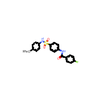 COc1ccc(NS(=O)(=O)c2ccc(NC(=O)c3ccc(F)cc3)cc2)cc1